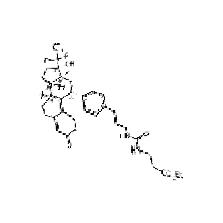 CCOC(=O)CCNC(=O)NCC=Cc1ccc([C@H]2C[C@@]3(C)[C@@H](CC[C@@]3(O)C(F)(F)C(F)(F)F)[C@@H]3CCC4=CC(=O)CCC4=C32)cc1